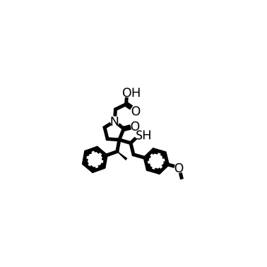 COc1ccc(CC(S)C2([C@@H](C)c3ccccc3)CCN(CC(=O)O)C2=O)cc1